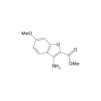 COC(=O)c1oc2cc(OC)ccc2c1N